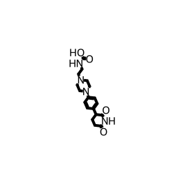 O=C(O)NCCN1CCN(c2ccc(C3CCC(=O)NC3=O)cc2)CC1